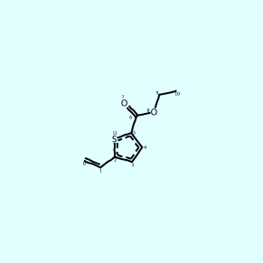 C=Cc1ccc(C(=O)OCC)s1